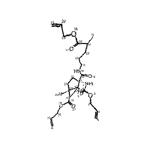 C=CCOC(=O)N[C@@]1(C(=O)NCCCC(C)C(=O)OCC=C)CC[C@H]2[C@H](C(=O)OCC=C)[C@H]21